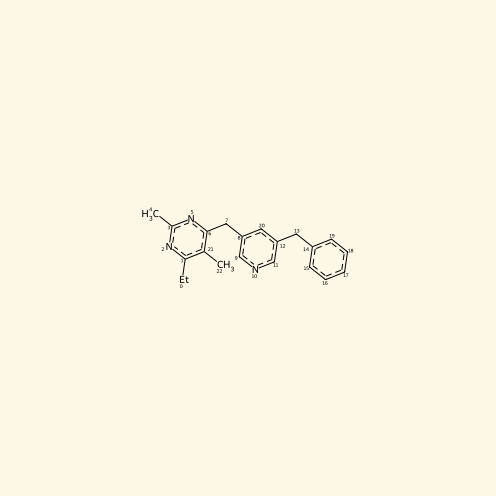 CCc1nc(C)nc(Cc2cncc(Cc3ccccc3)c2)c1C